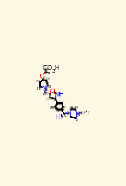 CCCN1CCN(C(=N)c2ccc(C3CC(CN4CCC(OCC(=O)O)CC4)ON3)cc2)CC1